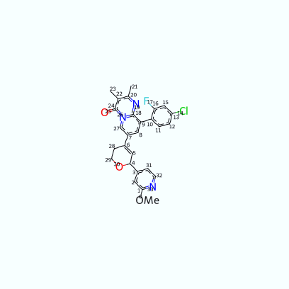 COc1cc(C2C=C(c3cc(-c4ccc(Cl)cc4F)c4nc(C)c(C)c(=O)n4c3)CCO2)ccn1